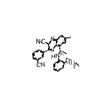 Cc1cc([C@@H](C)Nc2ccccc2C(=O)O)c2nc(-c3cccc(C#N)c3)c(C#N)nc2c1